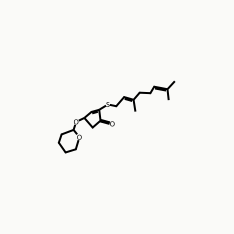 CC(C)=CCC/C(C)=C/CSC1=CC(OC2CCCCO2)CC1=O